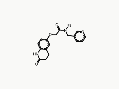 CCN(Cc1cccnc1)C(=O)COc1ccc2c(c1)CCC(=O)N2